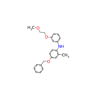 COCCOc1cccc(Nc2ccc(OCc3ccccc3)cc2C)c1